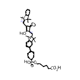 CN1/C(=C/C2=C(O)C(=C\C3=[N+](C)c4ccc(-c5ccc(P(=O)(O)OCCCCCC(=O)O)cc5)cc4C3(C)C)/C2=O)C(C)(C)c2ccccc21